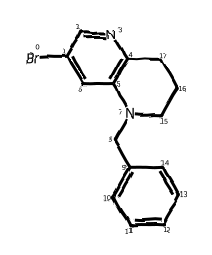 Brc1cnc2c(c1)N(Cc1ccccc1)CCC2